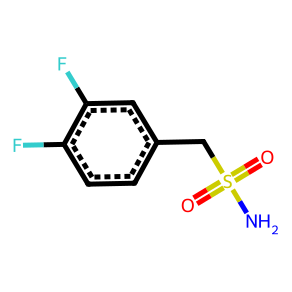 NS(=O)(=O)Cc1ccc(F)c(F)c1